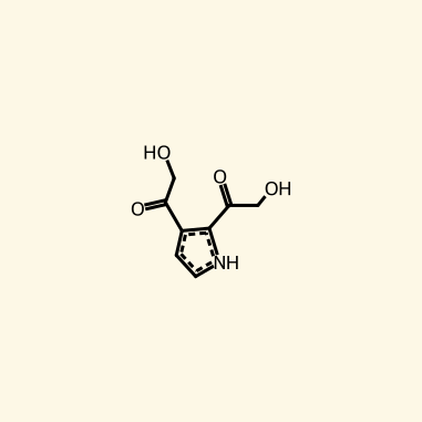 O=C(CO)c1cc[nH]c1C(=O)CO